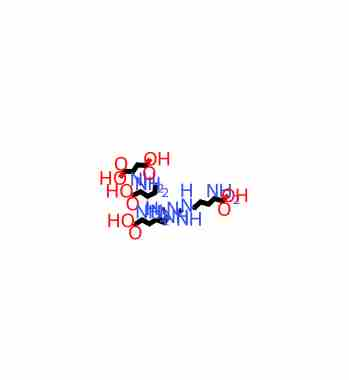 CC[C@H](C)[C@H](N)C(=O)O.N=C(N)NCCC[C@H](N)C(=O)O.N[C@@H](CC(=O)O)C(=O)O.N[C@@H](Cc1c[nH]cn1)C(=O)O